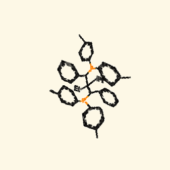 CCC(C(C)C)(C(c1ccccc1)P(c1ccc(C)cc1)c1ccc(C)cc1)C(c1ccccc1)P(c1ccc(C)cc1)c1ccc(C)cc1